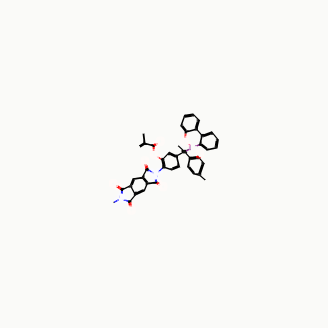 C=C(C)C(=O)Oc1cc(C(C)(c2ccc(C)cc2)P2(=O)Oc3ccccc3-c3ccccc32)ccc1-n1c(=O)c2cc3c(=O)n(C)c(=O)c3cc2c1=O